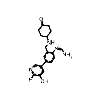 N/C=N\c1ccc(-c2cnc(F)c(O)c2)cc1CNC1CCC(=O)CC1